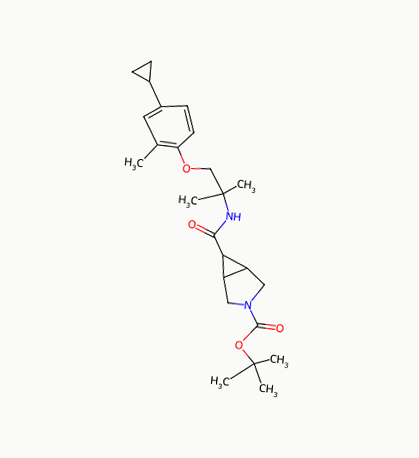 Cc1cc(C2CC2)ccc1OCC(C)(C)NC(=O)C1C2CN(C(=O)OC(C)(C)C)CC21